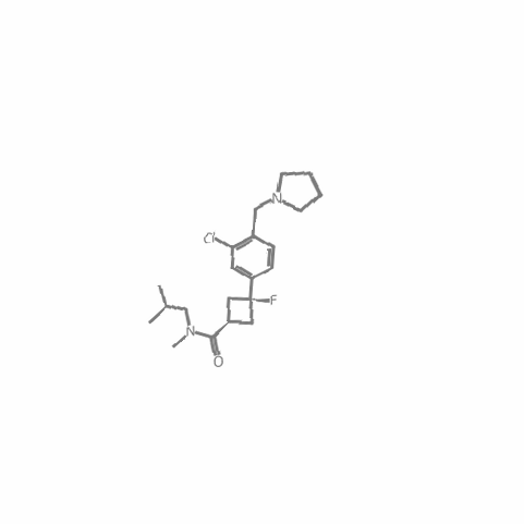 CC(C)CN(C)C(=O)[C@H]1C[C@](F)(c2ccc(CN3CCCC3)c(Cl)c2)C1